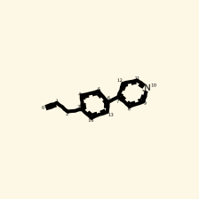 C=CCc1ccc(-c2ccncc2)cc1